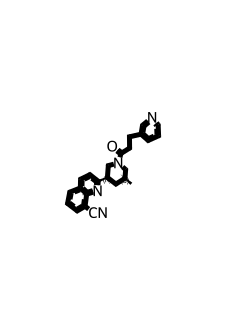 C[C@H]1C[C@@H](c2ccc3cccc(C#N)c3n2)CN(C(=O)CCc2cccnc2)C1